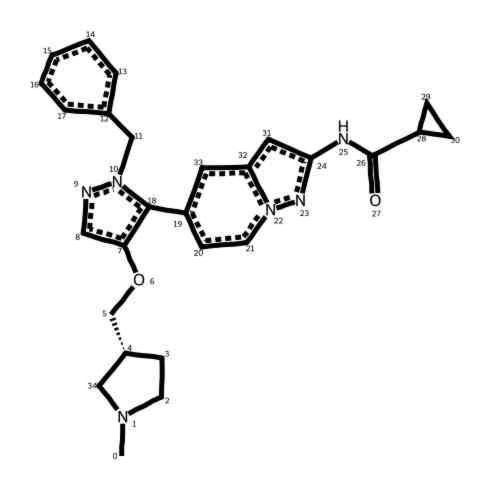 CN1CC[C@@H](COc2cnn(Cc3ccccc3)c2-c2ccn3nc(NC(=O)C4CC4)cc3c2)C1